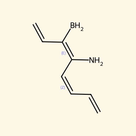 B/C(C=C)=C(N)/C=C\C=C